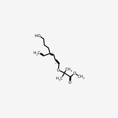 C=C/C(=C\C=C\OC(C)(C)C(=O)OC)CCCO